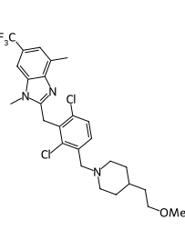 COCCC1CCN(Cc2ccc(Cl)c(Cc3nc4c(C)cc(C(F)(F)F)cc4n3C)c2Cl)CC1